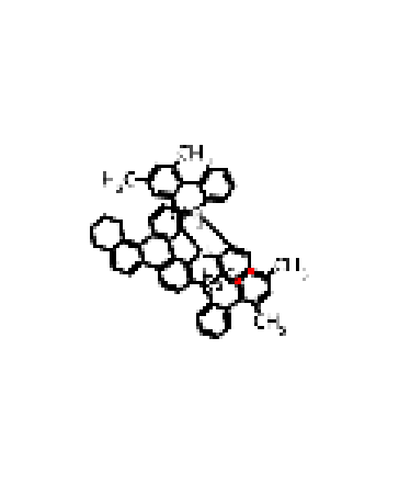 Cc1cc(C)c(-c2ccccc2B2c3cccc4c3-n3c5c2ccc2c6ccc7c(c6c6ccc(c3c6c25)B4c2ccccc2-c2c(C)cc(C)cc2C)CCCC7)c(C)c1